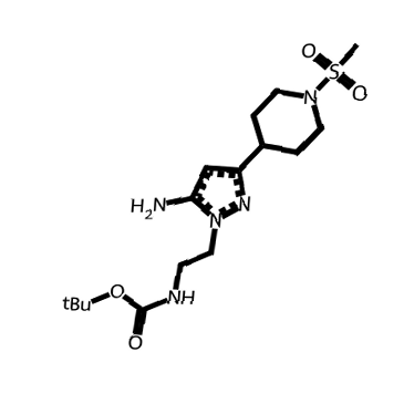 CC(C)(C)OC(=O)NCCn1nc(C2CCN(S(C)(=O)=O)CC2)cc1N